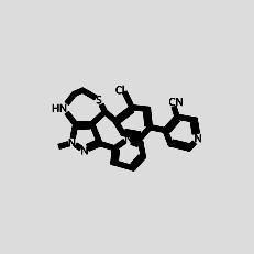 Cn1nc(-c2ccccn2)c2c1NCCSC2c1ccc(-c2ccncc2C#N)cc1Cl